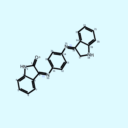 O=C1Nc2ccccc2/C1=N/c1ccc(/N=C2\CNc3ccccc32)cc1